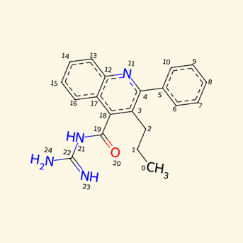 CCCc1c(-c2ccccc2)nc2ccccc2c1C(=O)NC(=N)N